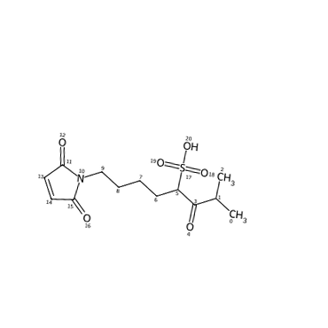 CC(C)C(=O)C(CCCCN1C(=O)C=CC1=O)S(=O)(=O)O